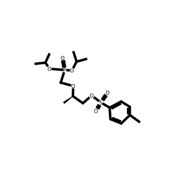 Cc1ccc(S(=O)(=O)OC[C@@H](C)OCP(=O)(OC(C)C)OC(C)C)cc1